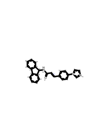 O=C(/C=C/c1ccc(-n2ccnc2)cc1)NC1c2ccccc2-c2ccccc21